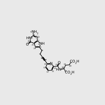 Nc1nc2[nH]c(CCC#Cc3cccc(C(=O)N[C@@H](CCC(=O)O)C(=O)O)n3)cc2c(=O)[nH]1